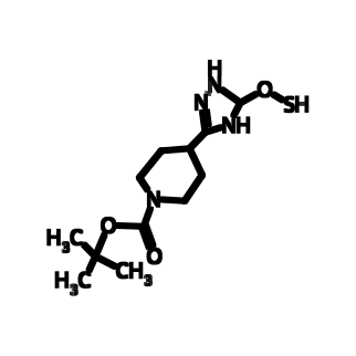 CC(C)(C)OC(=O)N1CCC(C2=NNC(OS)N2)CC1